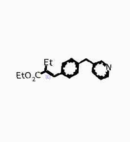 CCOC(=O)/C(=C/c1ccc(Cc2cccnc2)cc1)CC